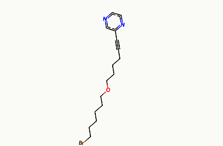 BrCCCCCCOCCCCC#Cc1cnccn1